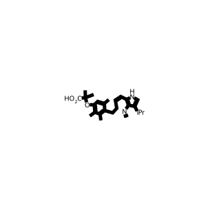 C=Nc1c(C(C)C)c[nH]c1/C=C\CCc1c(C)cc(OC(C)(C)C(=O)O)c(C)c1C